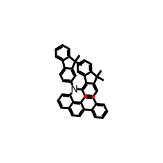 CC1(C)c2ccccc2-c2ccc(N(c3cccc4c3-c3ccccc3C4(C)C)c3cccc4ccc5c6ccccc6ccc5c34)cc21